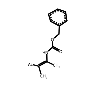 CC(=O)/C(C)=C(/C)NC(=O)OCc1ccccc1